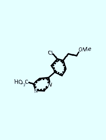 COCCc1ccc(-c2cc(C(=O)O)ncn2)cc1Cl